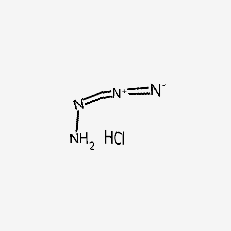 Cl.[N-]=[N+]=NN